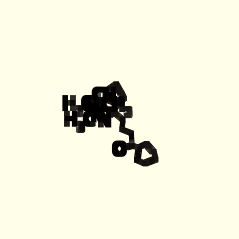 CN(N=C(CCCC(=O)c1ccccc1)c1ccccc1)[Si](C)(C)C